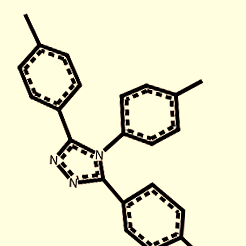 Cc1ccc(-c2nnc(-c3ccc(C)cc3)n2-c2ccc(C)cc2)cc1